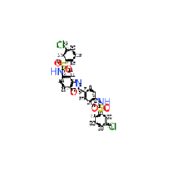 O=S(=O)(Nc1ccc(-c2nc3cc(NS(=O)(=O)c4cccc(Cl)c4)ccc3o2)cc1)c1cccc(Cl)c1